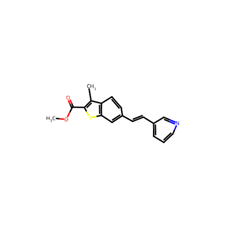 COC(=O)c1sc2cc(/C=C/c3cccnc3)ccc2c1C